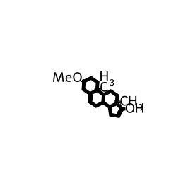 COC1CC[C@@]2(C)C(=CCC3C2CC[C@]2(C)C(O)=CCC32)C1